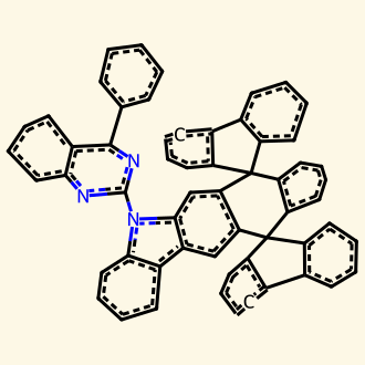 c1ccc(-c2nc(-n3c4ccccc4c4cc5c(cc43)C3(c4ccccc4-c4ccccc43)c3ccccc3C53c4ccccc4-c4ccccc43)nc3ccccc23)cc1